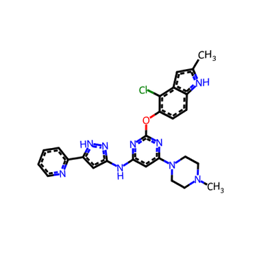 Cc1cc2c(Cl)c(Oc3nc(Nc4cc(-c5ccccn5)[nH]n4)cc(N4CCN(C)CC4)n3)ccc2[nH]1